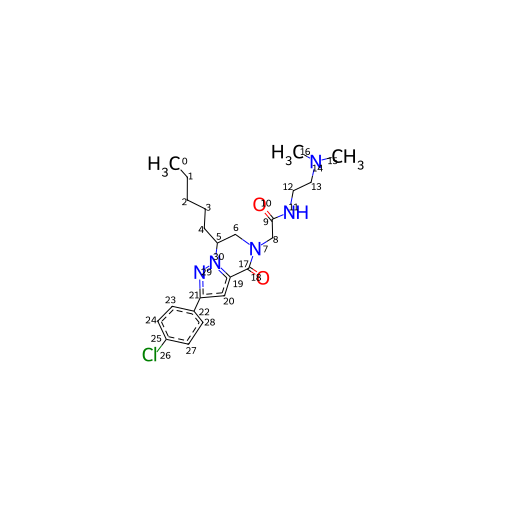 CCCCCC1CN(CC(=O)NCCN(C)C)C(=O)c2cc(-c3ccc(Cl)cc3)nn21